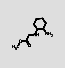 COC(=O)CNC1CCCCC1N